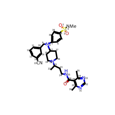 CNS(=O)(=O)c1ccc(N(Cc2cccc(C#N)c2)C2CCN(C(C)CCNC(=O)c3c(C)ncnc3C)CC2)cc1